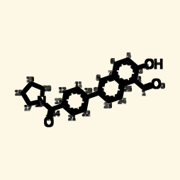 O=Cc1c(O)ccc2cc(-c3ccc(C(=O)N4CCCC4)cc3)ccc12